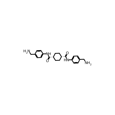 NCc1ccc(NC(=O)[C@H]2CC[C@@H](C(=O)Nc3ccc(CN)cc3)CC2)cc1